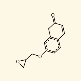 O=C1C=Cc2ccc(OCC3CO3)cc2C1